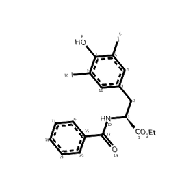 CCOC(=O)[C@H](Cc1cc(I)c(O)c(I)c1)NC(=O)c1ccccc1